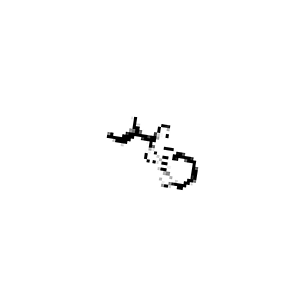 CC=C(C)C(=O)O[SiH]1CCCCO1